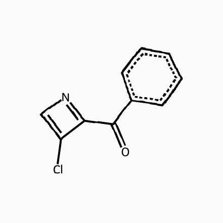 O=C(C1=NC=C1Cl)c1ccccc1